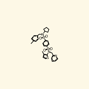 Cc1ccc(CN(C2CCCC2)S(=O)(=O)c2ccc(S(=O)(=O)N(Cc3ccccn3)c3sccc3C)cc2)cc1